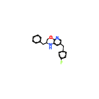 Fc1ccc(Cc2cnc3c(c2)NC(Cc2ccccc2)CO3)cc1